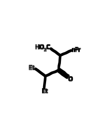 CCCC(C(=O)O)C(=O)C(CC)CC